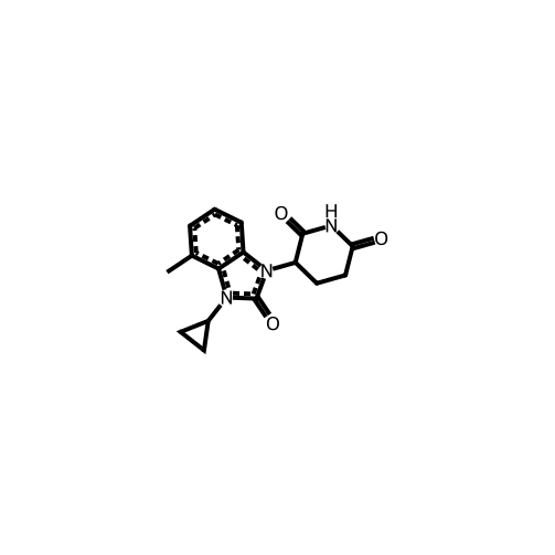 Cc1cccc2c1n(C1CC1)c(=O)n2C1CCC(=O)NC1=O